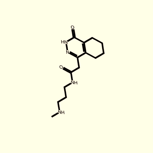 CNCCCNC(=O)Cc1n[nH]c(=O)c2c1CCCC2